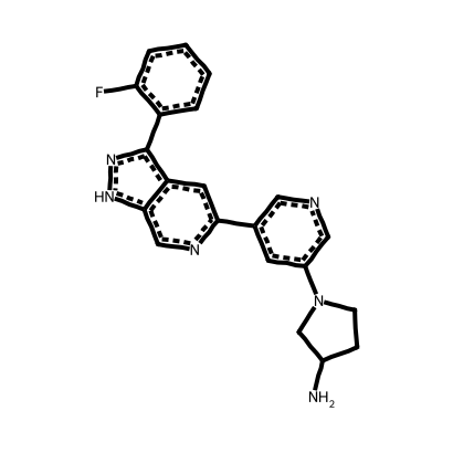 NC1CCN(c2cncc(-c3cc4c(-c5ccccc5F)n[nH]c4cn3)c2)C1